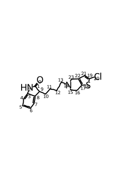 O=C1Nc2ccccc2C1CCCCN1CCc2sc(Cl)cc2C1